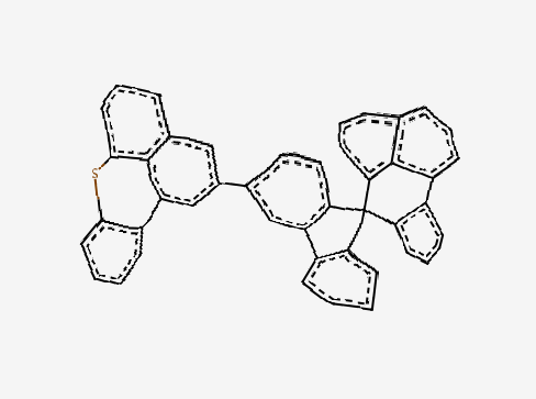 c1ccc2c(c1)Sc1cccc3cc(-c4ccc5c(c4)-c4ccccc4C54c5ccccc5-c5cccc6cccc4c56)cc-2c13